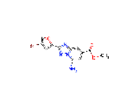 COC(=O)c1cc(N)n2nc(-c3cc(Br)co3)nc2c1